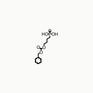 O=C(OCCCCP(=O)(O)O)OCc1ccccc1